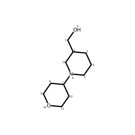 OCC1CCCN(C2CCOCC2)C1